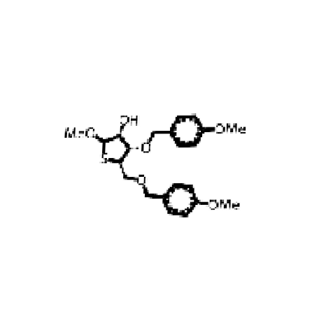 COc1ccc(COC[C@H]2SC(OC)[C@@H](O)[C@@H]2OCc2ccc(OC)cc2)cc1